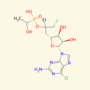 CCC(CF)(C[C@H]1O[C@@H](n2cnc3c(Cl)nc(N)nc32)[C@H](O)[C@@H]1O)OP(=O)(O)C(C)O